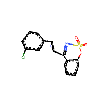 O=S1(=O)N=C(/C=C/c2cccc(Cl)c2)c2ccccc2O1